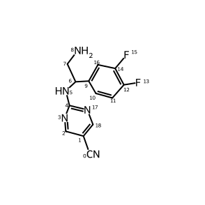 N#Cc1cnc(NC(CN)c2ccc(F)c(F)c2)nc1